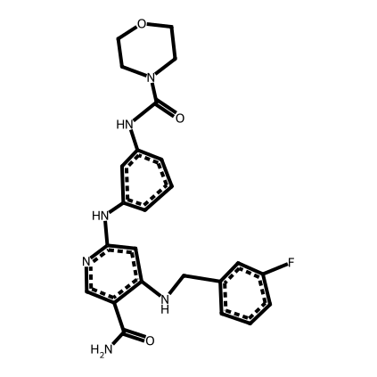 NC(=O)c1cnc(Nc2cccc(NC(=O)N3CCOCC3)c2)cc1NCc1cccc(F)c1